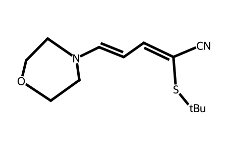 CC(C)(C)SC(C#N)=CC=CN1CCOCC1